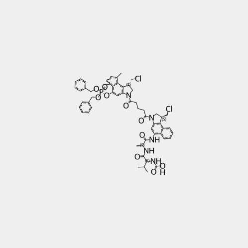 Cc1csc2c(OP(=O)(OCc3ccccc3)OCc3ccccc3)cc3c(c12)[C@H](CCl)CN3C(=O)CCCC(=O)N1C[C@@H](CCl)c2c1cc(NC(=O)[C@H](C)NC(=O)[C@@H](NC(=O)O)C(C)C)c1ccccc21